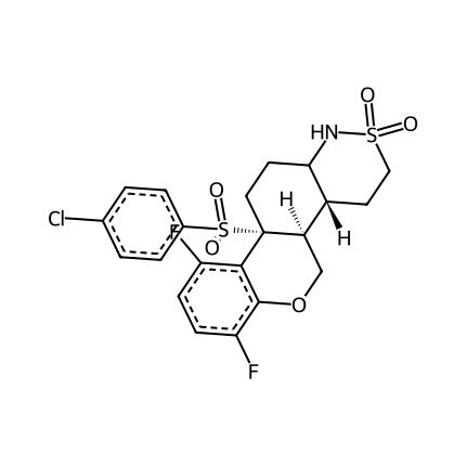 O=S1(=O)CC[C@H]2C(CC[C@]3(S(=O)(=O)c4ccc(Cl)cc4)c4c(F)ccc(F)c4OC[C@H]23)N1